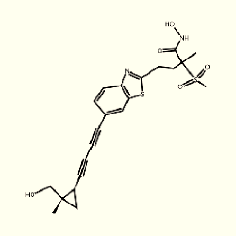 CC(CCc1nc2ccc(C#CC#C[C@H]3C[C@]3(C)CO)cc2s1)(C(=O)NO)S(C)(=O)=O